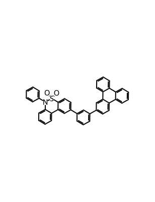 O=S1(=O)c2ccc(-c3cccc(-c4ccc5c6ccccc6c6ccccc6c5c4)c3)cc2-c2ccccc2N1c1ccccc1